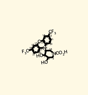 O=C(O)N1CC(O)C(O)C(N2c3ccc(C(F)(F)F)cc3Oc3cc(C(F)(F)F)ccc32)C1